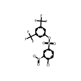 O=[N+]([O-])c1cc(S(=O)(=O)Oc2cc(C(F)(F)F)cc(C(F)(F)F)c2)ccc1Cl